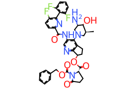 C[C@H]1CN(c2c(NC(=O)c3ccc(F)c(-c4c(F)cccc4F)n3)cnc3c2CC[C@H]3OC(=O)[C@@H]2CCC(=O)N2C(=O)OCc2ccccc2)C[C@@H](N)[C@@H]1O